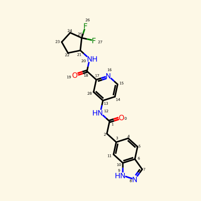 O=C(Cc1ccc2cn[nH]c2c1)Nc1ccnc(C(=O)NC2CCCC2(F)F)c1